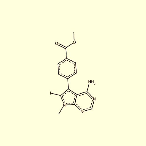 COC(=O)c1ccc(-c2c(I)n(C)c3ncnc(N)c23)cc1